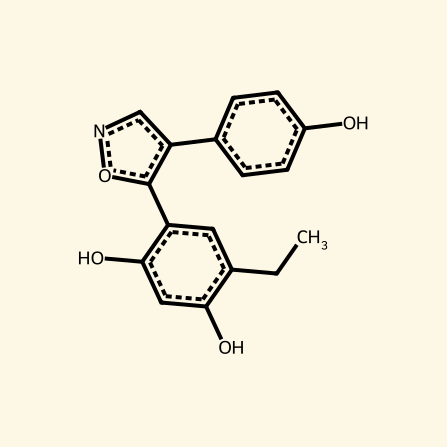 CCc1cc(-c2oncc2-c2ccc(O)cc2)c(O)cc1O